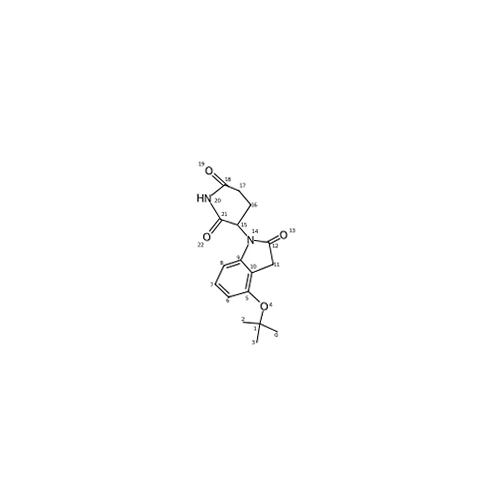 CC(C)(C)Oc1cccc2c1CC(=O)N2C1CCC(=O)NC1=O